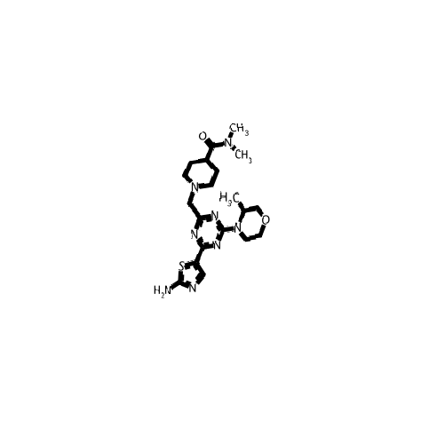 CC1COCCN1c1nc(CN2CCC(C(=O)N(C)C)CC2)nc(-c2cnc(N)s2)n1